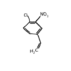 C=Cc1ccc(Cl)c([N+](=O)[O-])c1